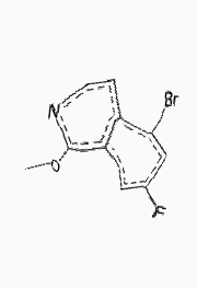 COc1nccc2c(Br)cc(F)cc12